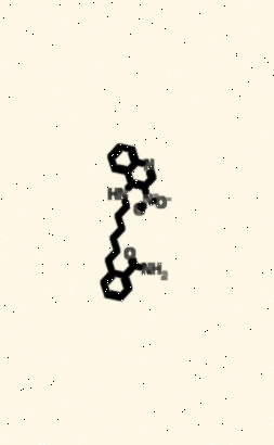 NC(=O)c1ccccc1CCCCCCNc1c([N+](=O)[O-])cnc2ccccc12